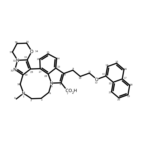 CN1CCCn2c(C(=O)O)c(CCCOc3cccc4ccccc34)c3cccc(c32)-c2c(nn3c2OCCC3)C1